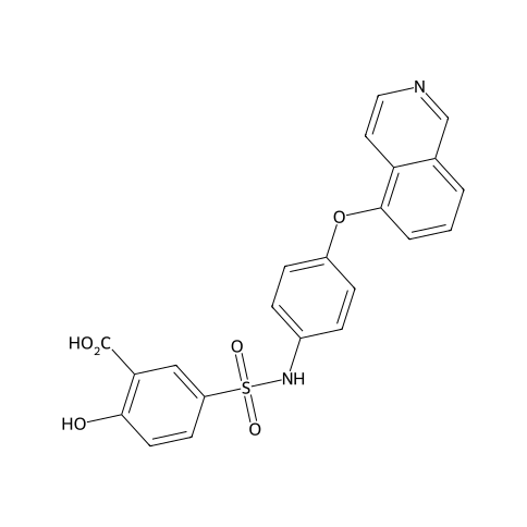 O=C(O)c1cc(S(=O)(=O)Nc2ccc(Oc3cccc4cnccc34)cc2)ccc1O